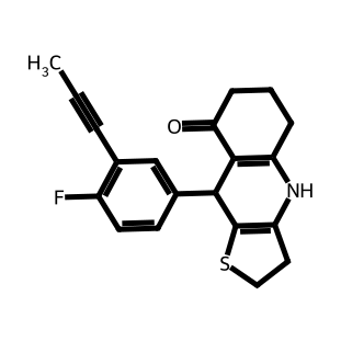 CC#Cc1cc(C2C3=C(CCS3)NC3=C2C(=O)CCC3)ccc1F